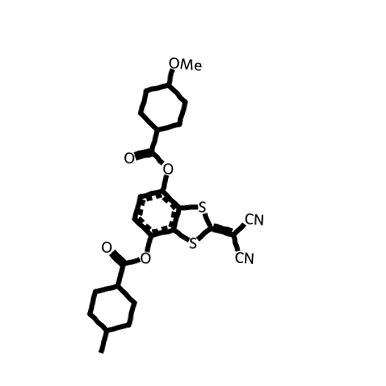 COC1CCC(C(=O)Oc2ccc(OC(=O)C3CCC(C)CC3)c3c2SC(=C(C#N)C#N)S3)CC1